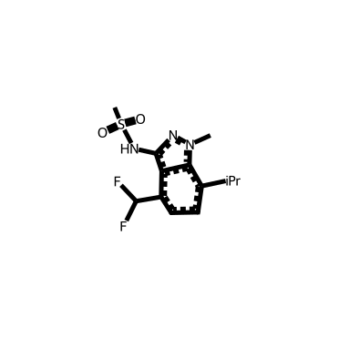 CC(C)c1ccc(C(F)F)c2c(NS(C)(=O)=O)nn(C)c12